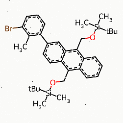 Cc1c(Br)cccc1-c1ccc2c(CO[Si](C)(C)C(C)(C)C)c3ccccc3c(CO[Si](C)(C)C(C)(C)C)c2c1